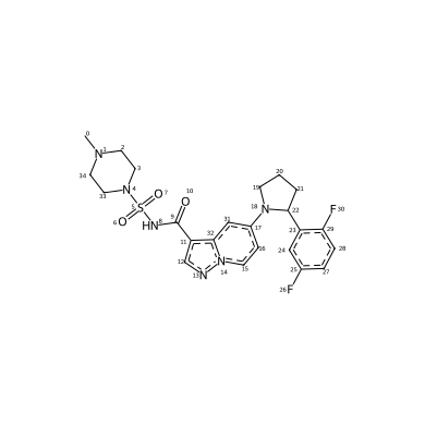 CN1CCN(S(=O)(=O)NC(=O)c2cnn3ccc(N4CCCC4c4cc(F)ccc4F)cc23)CC1